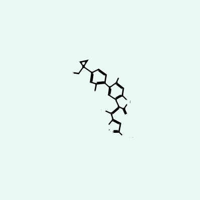 COc1cc(C(O)=C2C(=O)Nc3cc(Cl)c(-c4ccc(C5(CO)CC5)cc4F)cc32)on1